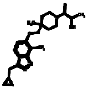 CC(O)C(=O)N1CCC(C)(COc2ccc3c(nnn3CC3CC3)c2C(F)(F)F)CC1